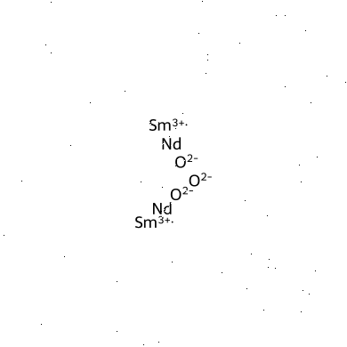 [Nd].[Nd].[O-2].[O-2].[O-2].[Sm+3].[Sm+3]